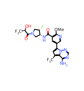 COc1ncc(-c2cc(C(F)(F)F)c3c(N)ncnn23)cc1C(=O)N[C@@H]1CN(C(=O)[C@H](O)C(F)(F)F)C[C@@H]1F